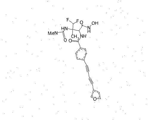 CNC(=O)NC(C)(C(F)F)C(NC(=O)c1ccc(C#CC#Cc2ccoc2)cc1)C(=O)NO